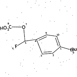 CC(C)(C)c1ccc(C(F)OC(=O)O)cc1